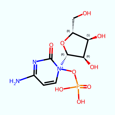 NC1=NC(=O)[N+](OP(=O)(O)O)([C@@H]2O[C@H](CO)[C@@H](O)[C@H]2O)C=C1